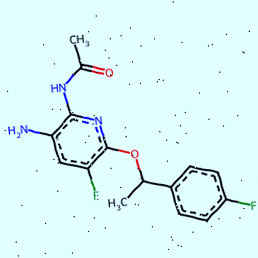 CC(=O)Nc1nc(OC(C)c2ccc(F)cc2)c(F)cc1N